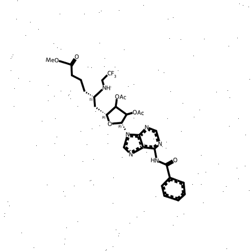 COC(=O)CCC[C@@H](C[C@H]1O[C@@H](n2cnc3c(NC(=O)c4ccccc4)ncnc32)C(OC(C)=O)C1OC(C)=O)NCC(F)(F)F